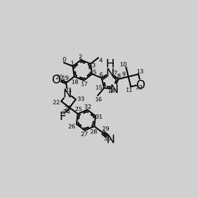 Cc1cc(C)c(-c2[nH]c(C3(C)COC3)nc2C)cc1C(=O)N1CC(F)(c2ccc(C#N)cc2)C1